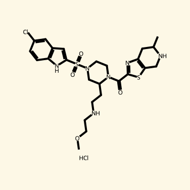 COCCNCCC1CN(S(=O)(=O)c2cc3cc(Cl)ccc3[nH]2)CCN1C(=O)c1nc2c(s1)CNC(C)C2.Cl